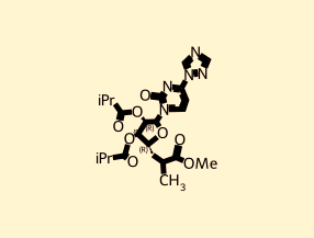 COC(=O)C(C)C[C@H]1OC(n2ccc(-n3cncn3)nc2=O)[C@H](OC(=O)C(C)C)[C@@H]1OC(=O)C(C)C